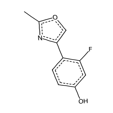 Cc1nc(-c2ccc(O)cc2F)co1